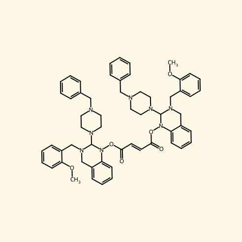 COc1ccccc1CN1Cc2ccccc2N(OC(=O)/C=C/C(=O)ON2c3ccccc3CN(Cc3ccccc3OC)C2N2CCN(Cc3ccccc3)CC2)C1N1CCN(Cc2ccccc2)CC1